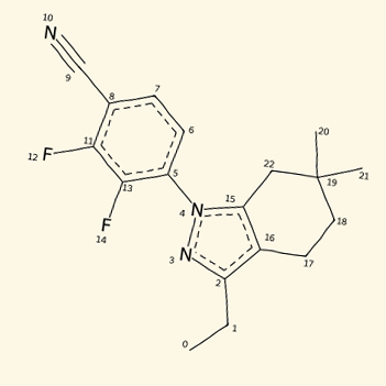 CCc1nn(-c2ccc(C#N)c(F)c2F)c2c1CCC(C)(C)C2